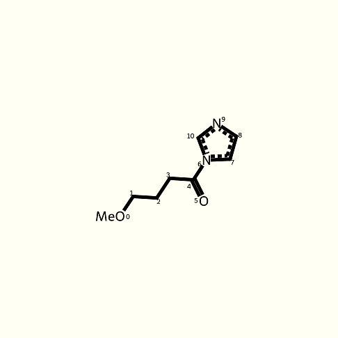 COCCCC(=O)n1ccnc1